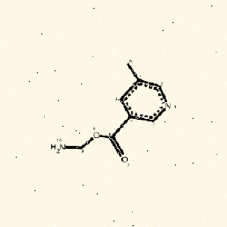 Cc1cncc(C(=O)OCN)c1